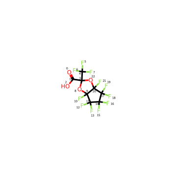 O=C(O)C1(C(F)(F)F)OC2(F)C(F)(F)C(F)(F)C(F)(F)C2(F)O1